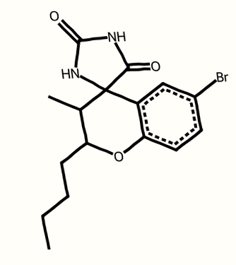 CCCCC1Oc2ccc(Br)cc2C2(NC(=O)NC2=O)C1C